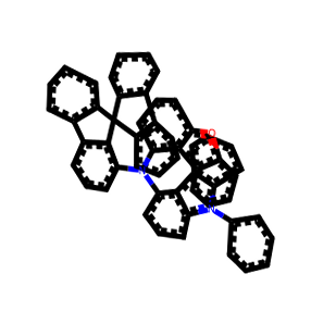 c1ccc(-n2c3ccccc3c3c(N(c4cccc5c4C4(c6ccccc6-c6ccccc64)c4ccccc4-5)c4cccc5oc6ccccc6c45)cccc32)cc1